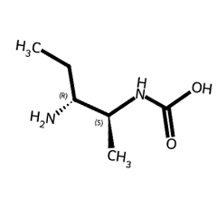 CC[C@@H](N)[C@H](C)NC(=O)O